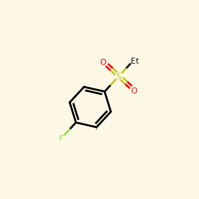 CCS(=O)(=O)c1c[c]c(F)cc1